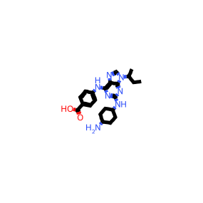 CCC(C)n1cnc2c(Nc3ccc(C(=O)O)cc3)nc(NC3CCC(N)CC3)nc21